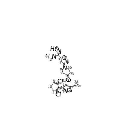 N/C(=N\O)c1cc(N2CCC(OCc3c(-c4c(Cl)cccc4Cl)noc3C3CC3)CC2)no1